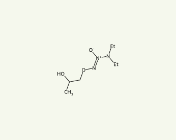 CCN(CC)/[N+]([O-])=N/OCC(C)O